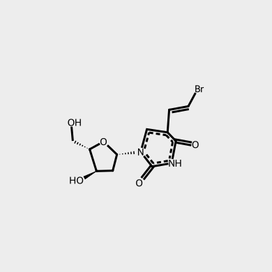 O=c1[nH]c(=O)n([C@@H]2C[C@@H](O)[C@H](CO)O2)cc1/C=C/Br